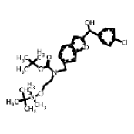 CC(C)(C)OC(=O)N(CCO[Si](C)(C)C(C)(C)C)Cc1ccc2cc(C(O)c3ccc(Cl)cc3)oc2c1